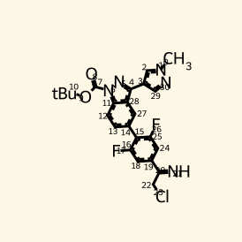 Cn1cc(-c2nn(C(=O)OC(C)(C)C)c3ccc(-c4c(F)cc(C(=N)CCl)cc4F)cc23)cn1